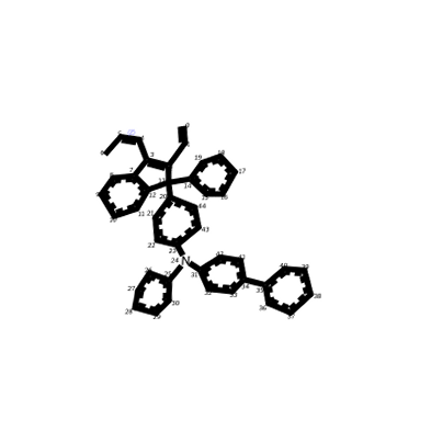 C=CC1=C(/C=C\C)c2ccccc2C1(c1ccccc1)c1ccc(N(c2ccccc2)c2ccc(-c3ccccc3)cc2)cc1